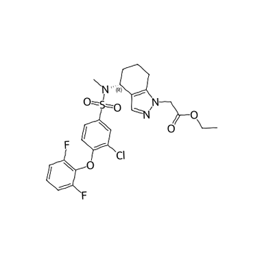 CCOC(=O)Cn1ncc2c1CCC[C@H]2N(C)S(=O)(=O)c1ccc(Oc2c(F)cccc2F)c(Cl)c1